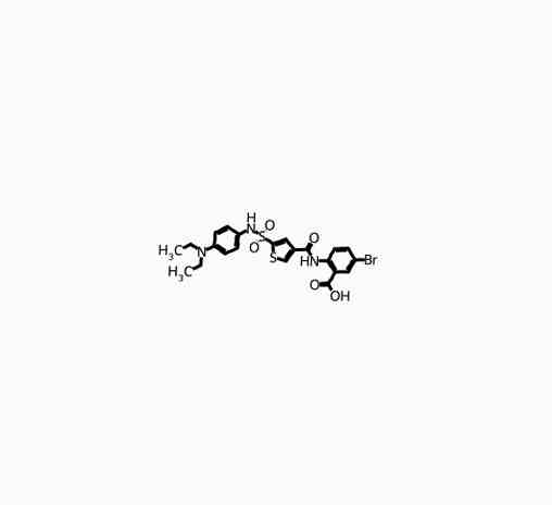 CCN(CC)c1ccc(NS(=O)(=O)c2cc(C(=O)Nc3ccc(Br)cc3C(=O)O)cs2)cc1